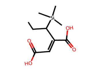 CCC(/C(=C\C(=O)O)C(=O)O)[Si](C)(C)C